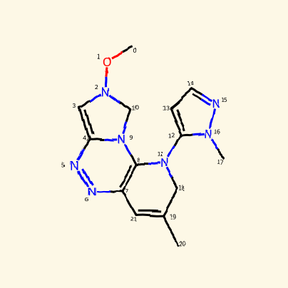 CON1C=C2N=NC3=C(N2C1)N(c1ccnn1C)CC(C)=C3